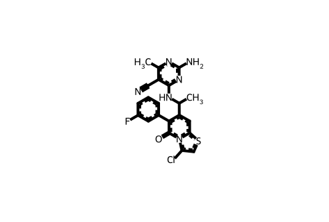 Cc1nc(N)nc(NC(C)c2cc3scc(Cl)n3c(=O)c2-c2cccc(F)c2)c1C#N